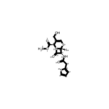 BOC(=O)[C@H]1C(CO)=CS[C@@H]2[C@H](NC(=O)Cc3cccs3)C(=O)N12